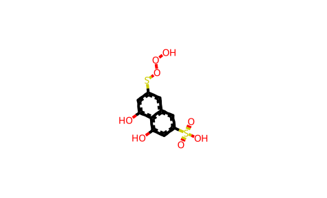 O=S(=O)(O)c1cc(O)c2c(O)cc(SOOO)cc2c1